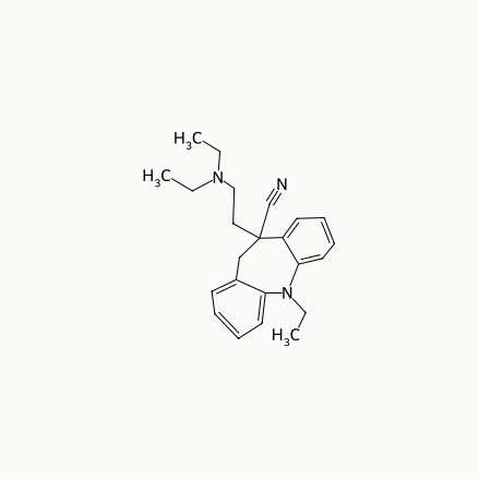 CCN(CC)CCC1(C#N)Cc2ccccc2N(CC)c2ccccc21